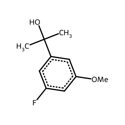 COc1cc(F)cc(C(C)(C)O)c1